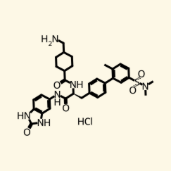 Cc1ccc(S(=O)(=O)N(C)C)cc1-c1ccc(C[C@H](NC(=O)C2CCC(CN)CC2)C(=O)Nc2ccc3[nH]c(=O)[nH]c3c2)cc1.Cl